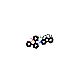 CC1(C)c2ccccc2-c2ccc(-n3c4cccc5oc6ccccc6c6cccc3c6c54)cc21